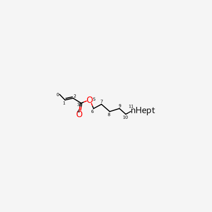 CC=CC(=O)OCCCCCCCCCCCC